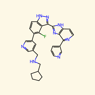 Fc1c(-c2cncc(CNCC3CCCC3)c2)ccc2[nH]nc(-c3nc4c(-c5cccnc5)nccc4[nH]3)c12